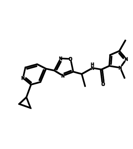 Cc1cc(C(=O)NC(C)c2nc(-c3ccnc(C4CC4)c3)no2)n(C)n1